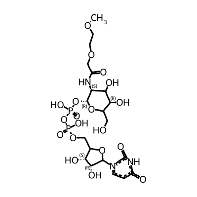 COCCOCC(=O)N[C@H]1C(O)[C@@H](O)C(CO)O[C@@H]1OP(=O)(O)OP(=O)(O)OCC1OC(n2ccc(=O)[nH]c2=O)[C@H](O)[C@@H]1O